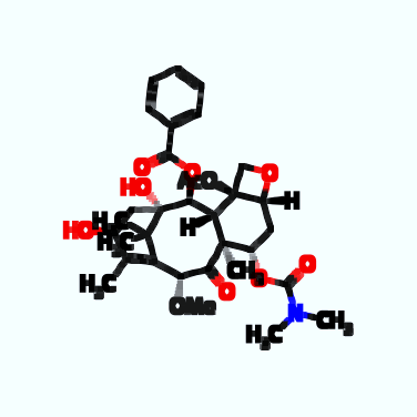 CO[C@H]1C(=O)[C@]2(C)[C@@H](OC(=O)N(C)C)C[C@H]3OC[C@@]3(OC(C)=O)[C@H]2[C@H](OC(=O)c2ccccc2)[C@]2(O)C[C@H](O)C(C)=C1C2(C)C